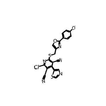 N#Cc1c(Cl)nc(SCc2coc(-c3ccc(Cl)cc3)n2)c(C#N)c1-c1cncs1